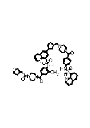 Cc1cc(C(=O)N2CCN(C(=O)OC3CCOC3)CC2)ccc1NS(=O)(=O)c1cc(C2CCC(CN3CCN(C(=O)c4ccc(NS(=O)(=O)c5cccc6cccnc56)cc4)CC3)C2)cc2cccnc12